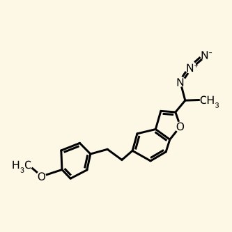 COc1ccc(CCc2ccc3oc(C(C)N=[N+]=[N-])cc3c2)cc1